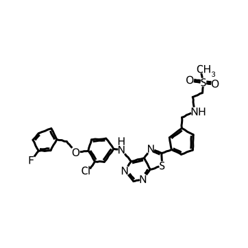 CS(=O)(=O)CCNCc1cccc(-c2nc3c(Nc4ccc(OCc5cccc(F)c5)c(Cl)c4)ncnc3s2)c1